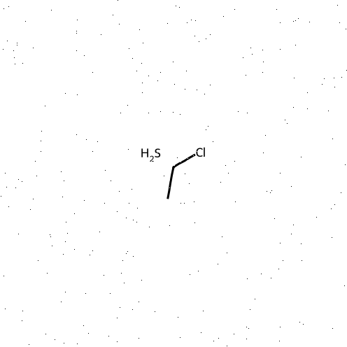 CCCl.S